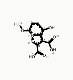 COc1ccc(O)c2c(C(=O)O)c(C(=O)O)nn12